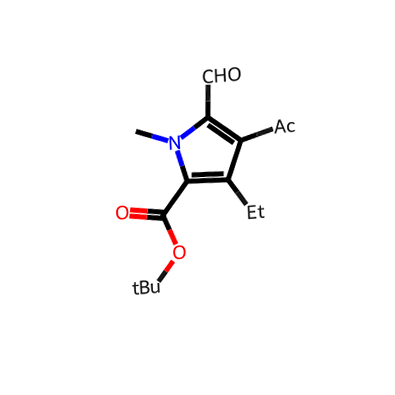 CCc1c(C(C)=O)c(C=O)n(C)c1C(=O)OC(C)(C)C